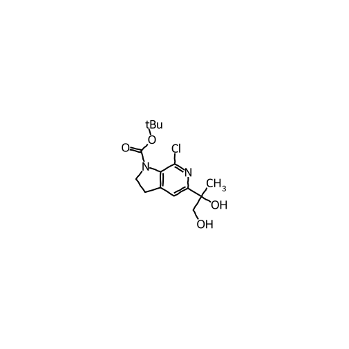 CC(C)(C)OC(=O)N1CCc2cc(C(C)(O)CO)nc(Cl)c21